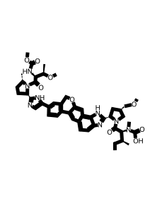 CC[C@H](C)[C@@H](C(=O)N1C[C@@H](COC)C[C@H]1c1nc2ccc3cc4c(cc3c2[nH]1)OCc1cc(-c2cnc([C@@H]3CC[C@H](C)N3C(=O)[C@@H](NC(=O)OC)[C@@H](C)OC)[nH]2)ccc1-4)N(C)C(=O)O